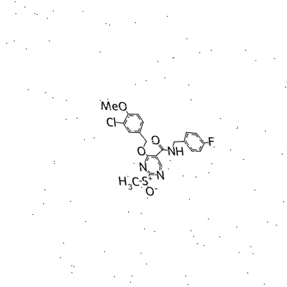 COc1ccc(COc2nc([S+](C)[O-])ncc2C(=O)NCc2ccc(F)cc2)cc1Cl